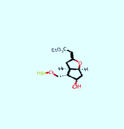 CCOC(=O)/C=C1\C[C@@H]2[C@@H](COS)[C@H](O)C[C@@H]2O1